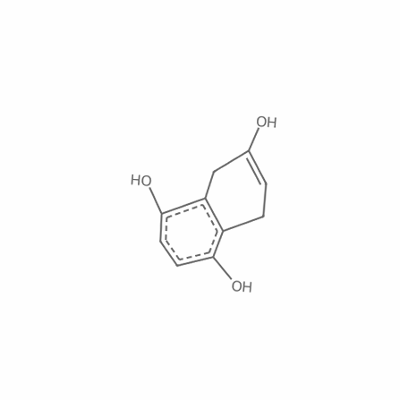 OC1=CCc2c(O)ccc(O)c2C1